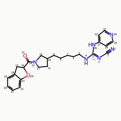 N#C/N=C(/NCCCCCC1CCN(C(=O)C2Cc3ccccc3O2)C1)Nc1ccncc1